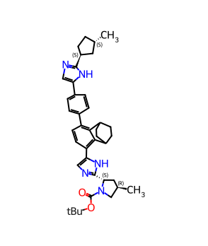 C[C@@H]1C[C@@H](c2ncc(-c3ccc(-c4ccc(-c5cnc([C@H]6CC[C@H](C)C6)[nH]5)cc4)c4c3C3CCC4CC3)[nH]2)N(C(=O)OC(C)(C)C)C1